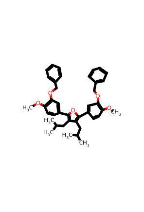 COc1ccc(-c2oc(-c3ccc(OC)c(OCc4ccccc4)c3)c(CC(C)C)c2CC(C)C)cc1OCc1ccccc1